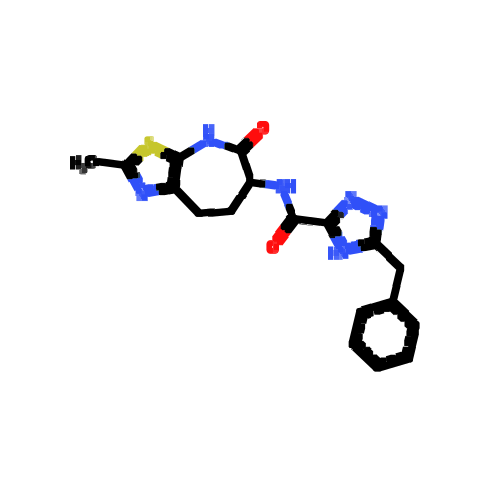 Cc1nc2c(s1)NC(=O)C(NC(=O)c1nnc(Cc3ccccc3)[nH]1)CC2